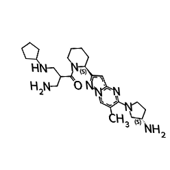 Cc1cn2nc([C@@H]3CCCCN3C(=O)C(CN)CNC3CCCC3)cc2nc1N1CC[C@H](N)C1